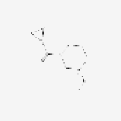 CC[C@H]1CN(C(=O)C2CC2)CCO1